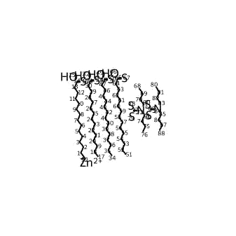 CCCCCCCCCCCCCCC(O)=S.CCCCCCCCCCCCCCC(O)=S.CCCCCCCCCCCCCCC(O)=S.CCCCCCCCCCCCCCC(O)=S.CCCCN(CCCC)C(=S)[S-].CCCCN(CCCC)C(=S)[S-].[Zn+2]